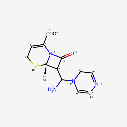 NC(C1C(=O)N2C(C(=O)[O-])=CCS[C@@H]12)N1C=[C+]N=CC1